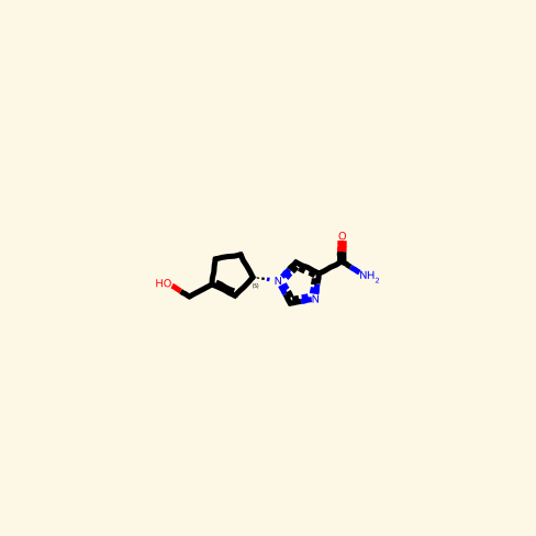 NC(=O)c1cn([C@@H]2C=C(CO)CC2)cn1